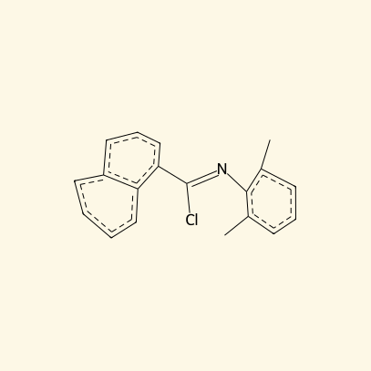 Cc1cccc(C)c1/N=C(\Cl)c1cccc2ccccc12